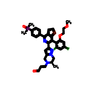 COCCOc1cc(F)cc(F)c1-c1c(-c2cc3n(n2)C[C@@H](C)N(C=CC=O)C3)nc(-c2ccc(P(C)(C)=O)cc2)c2ccsc12